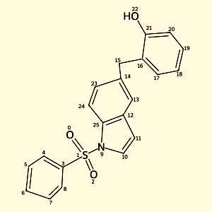 O=S(=O)(c1ccccc1)n1ccc2cc(Cc3ccccc3O)ccc21